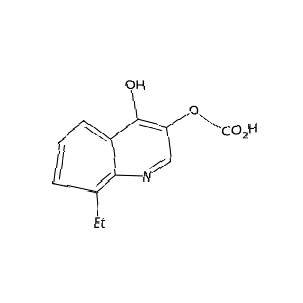 CCc1cccc2c(O)c(OC(=O)O)cnc12